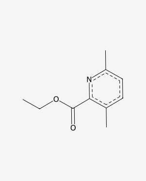 CCOC(=O)c1nc(C)ccc1C